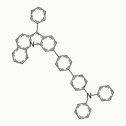 c1ccc(-c2c3ccc(-c4ccc(-c5ccc(N(c6ccccc6)c6ccccc6)cc5)cc4)cc3n3c2ccc2ccccc23)cc1